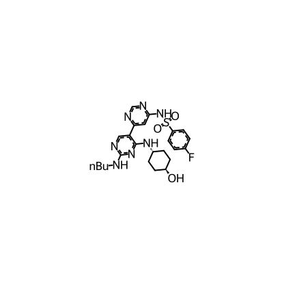 CCCCNc1ncc(-c2cc(NS(=O)(=O)c3ccc(F)cc3)ncn2)c(N[C@H]2CC[C@H](O)CC2)n1